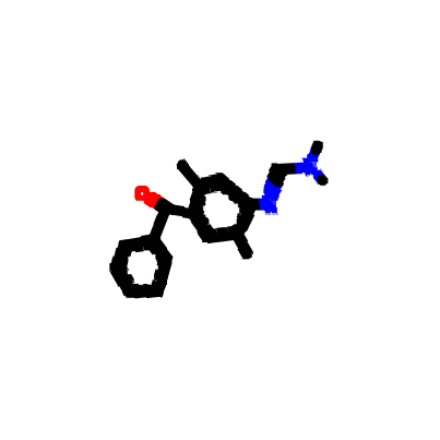 Cc1cc(C(=O)c2ccccc2)c(C)cc1N=CN(C)C